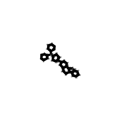 c1ccc(N(c2ccccc2)c2ccc(-c3ccc4c(ccc5c6ccccc6sc45)c3)cc2)cc1